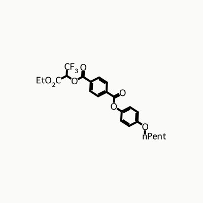 CCCCCOc1ccc(OC(=O)c2ccc(C(=O)OC(C(=O)OCC)C(F)(F)F)cc2)cc1